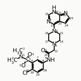 CN(C)S(=O)(=O)c1cc(NC(=O)CN2CCN(c3nc[nH]c4nccc3-4)CC2)ccc1Cl